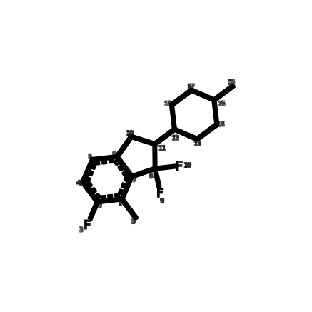 Cc1c(F)ccc2c1C(F)(F)C(C1CCC(C)CC1)C2